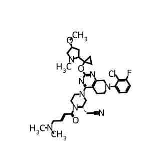 COC1CC(C2(Oc3nc4c(c(N5CCN(C(=O)/C=C/CN(C)C)[C@@H](CC#N)C5)n3)CCN(c3cccc(F)c3Cl)C4)CC2)N(C)C1